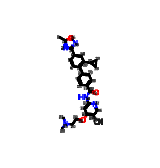 Cc1nc(-c2ccc(-c3ccc(C(=O)Nc4cc(OCCN(C)C)c(C#N)cn4)cc3)c(C3CC3)c2)no1